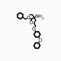 CCC(N)(CCCOc1ccc(Oc2ccccc2)cc1)C(=O)OCc1ccccc1